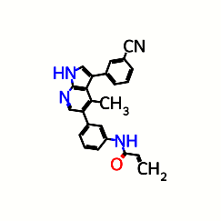 C=CC(=O)Nc1cccc(-c2cnc3[nH]cc(-c4cccc(C#N)c4)c3c2C)c1